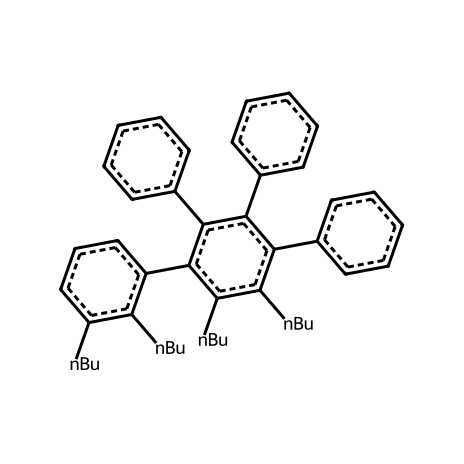 CCCCc1cccc(-c2c(CCCC)c(CCCC)c(-c3ccccc3)c(-c3ccccc3)c2-c2ccccc2)c1CCCC